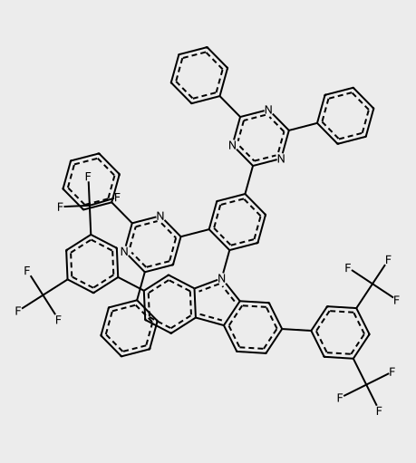 FC(F)(F)c1cc(-c2ccc3c4ccc(-c5cc(C(F)(F)F)cc(C(F)(F)F)c5)cc4n(-c4ccc(-c5nc(-c6ccccc6)nc(-c6ccccc6)n5)cc4-c4cc(-c5ccccc5)nc(-c5ccccc5)n4)c3c2)cc(C(F)(F)F)c1